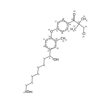 CCCCCCCCCCCCCCCCCC(O)c1ccc(Oc2ccc(C(=O)C(C)(C)CCl)cc2)c(C)c1